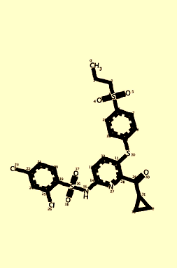 CCCS(=O)(=O)c1ccc(Sc2ccc(NS(=O)(=O)c3ccc(Cl)cc3Cl)nc2C(=O)C2CC2)cc1